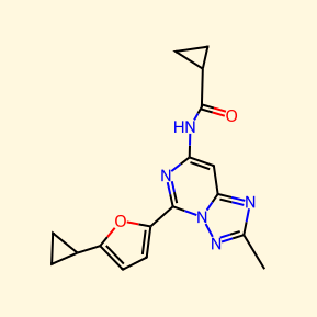 Cc1nc2cc(NC(=O)C3CC3)nc(-c3ccc(C4CC4)o3)n2n1